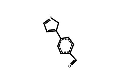 O=Cc1ccc(C2=CC=NC2)cc1